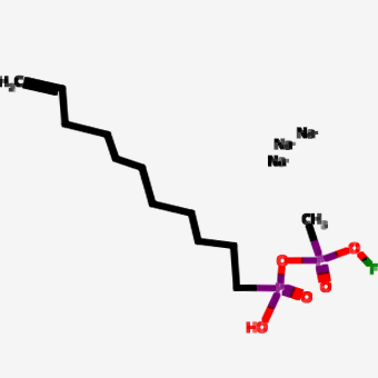 C=CCCCCCCCCCP(=O)(O)OP(C)(=O)OF.[Na].[Na].[Na]